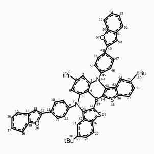 CC(C)c1cc2c3c(c1)N(c1ccc(-c4cc5ccccc5o4)cc1)c1c(sc4ccc(C(C)(C)C)cc14)B3c1sc3ccc(C(C)(C)C)cc3c1N2c1ccc(-c2cc3ccccc3o2)cc1